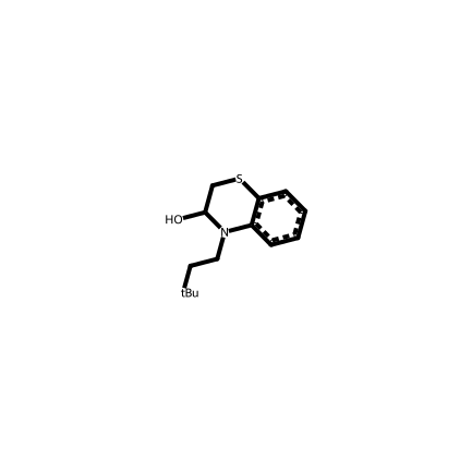 CC(C)(C)CCN1c2ccccc2SCC1O